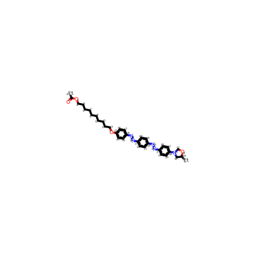 CCC(=O)OCCCCCCCCCCOc1ccc(N=Nc2ccc(N=Nc3ccc(N4COC(CC)C4)cc3)cc2)cc1